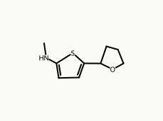 CNc1ccc(C2CCCO2)s1